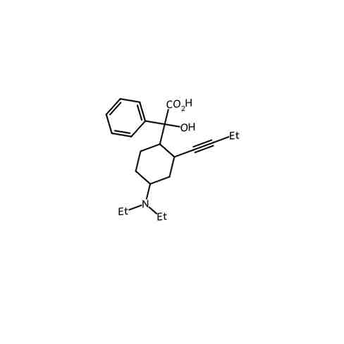 CCC#CC1CC(N(CC)CC)CCC1C(O)(C(=O)O)c1ccccc1